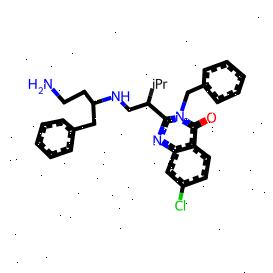 CC(C)C(CNC(CCN)Cc1ccccc1)c1nc2cc(Cl)ccc2c(=O)n1Cc1ccccc1